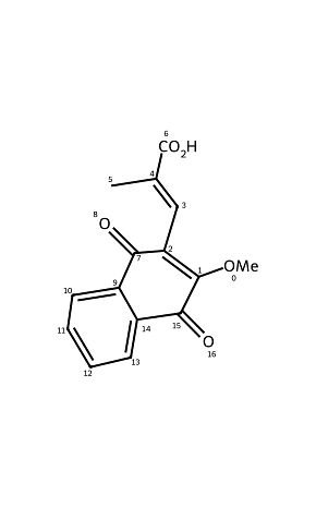 COC1=C(C=C(C)C(=O)O)C(=O)c2ccccc2C1=O